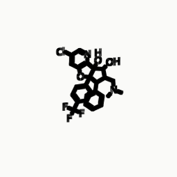 CN(C)CC1C(O)C2(O)c3ncc(Cl)cc3OC2(c2ccc(C(F)(F)F)cc2)C1c1ccccc1